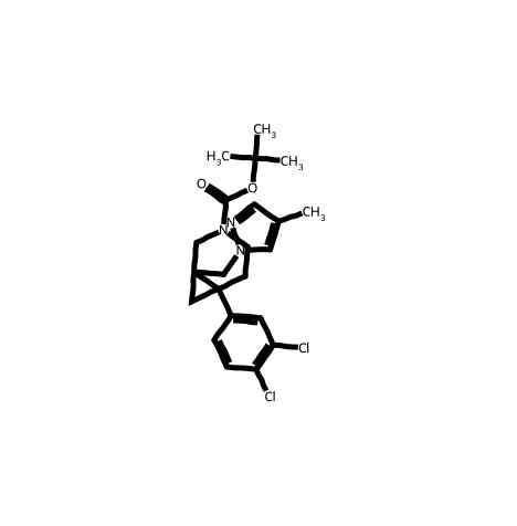 Cc1cnn(CC23CN(C(=O)OC(C)(C)C)CCC2(c2ccc(Cl)c(Cl)c2)C3)c1